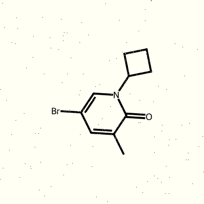 Cc1cc(Br)cn(C2CCC2)c1=O